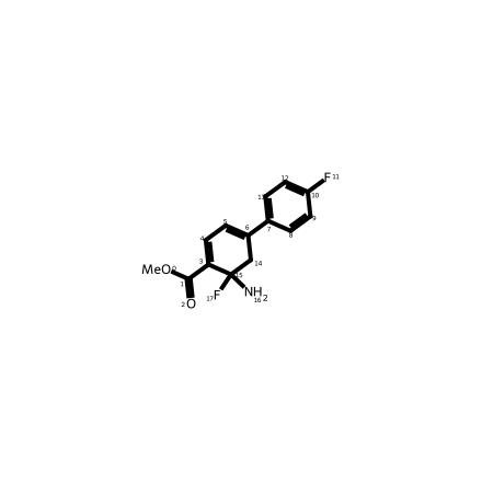 COC(=O)C1=CC=C(c2ccc(F)cc2)CC1(N)F